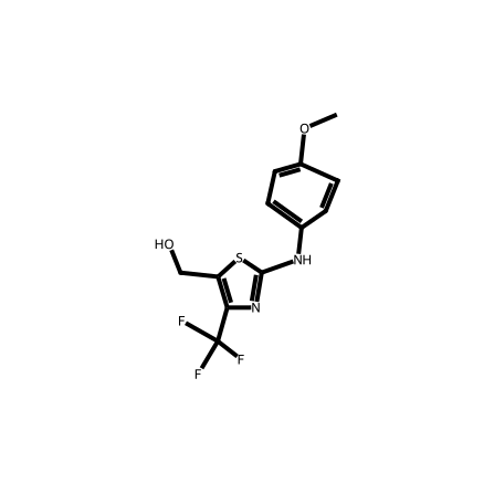 COc1ccc(Nc2nc(C(F)(F)F)c(CO)s2)cc1